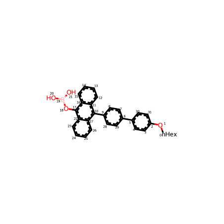 CCCCCCOc1ccc(-c2ccc(-c3c4ccccc4c(OB(O)O)c4ccccc34)cc2)cc1